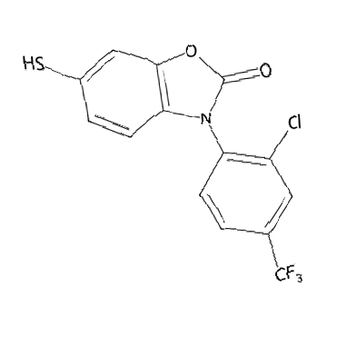 O=c1oc2cc(S)ccc2n1-c1ccc(C(F)(F)F)cc1Cl